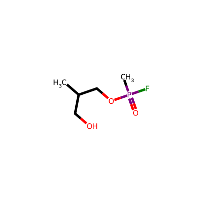 CC(CO)COP(C)(=O)F